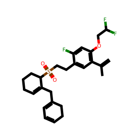 C=C(C)c1cc(CCS(=O)(=O)C2CCCC=C2CC2=CC=CCC2)c(F)cc1OCC(F)F